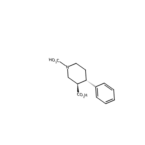 O=C(O)[C@H]1CN(C(=O)O)CC[C@@H]1c1ccccc1